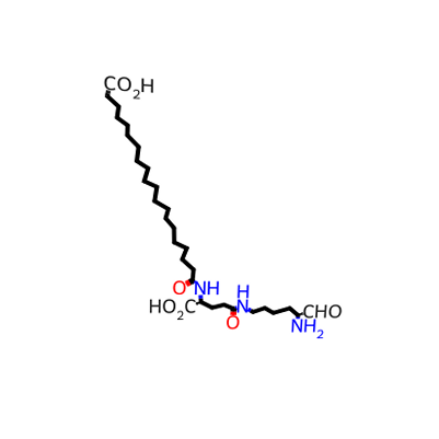 N[C@H](C=O)CCCCNC(=O)CC[C@H](NC(=O)CCCCCCCCCCCCCCCCCCC(=O)O)C(=O)O